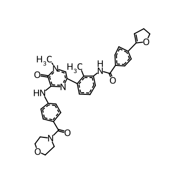 Cc1c(NC(=O)c2ccc(C3=CCCO3)cc2)cccc1-c1cn(C)c(=O)c(Nc2ccc(C(=O)N3CCOCC3)cc2)n1